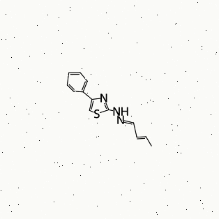 CC=CC=NNc1nc(-c2ccccc2)cs1